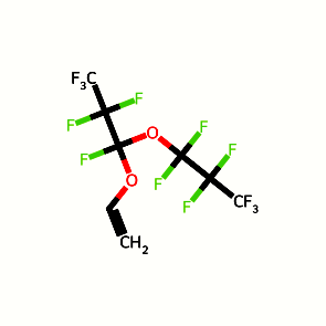 C=COC(F)(OC(F)(F)C(F)(F)C(F)(F)F)C(F)(F)C(F)(F)F